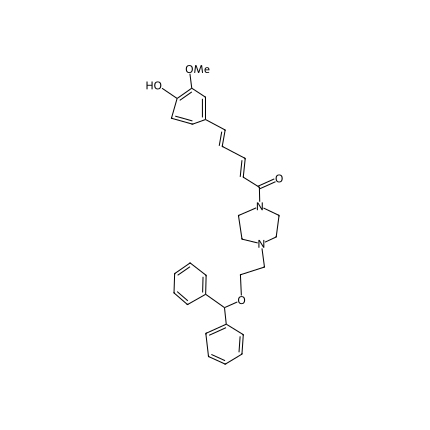 COc1cc(C=CC=CC(=O)N2CCN(CCOC(c3ccccc3)c3ccccc3)CC2)ccc1O